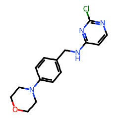 Clc1nccc(NCc2ccc(N3CCOCC3)cc2)n1